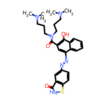 CN(C)CCCN(CCCN(C)C)C(=O)c1cc(N=Nc2ccc3s[nH]c(=O)c3c2)c2ccccc2c1O